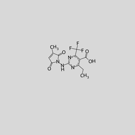 CCc1nc(NN2C(=O)C=C(C)C2=O)nc(C(F)(F)F)c1C(=O)O